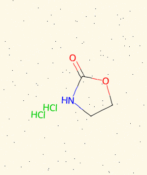 Cl.Cl.O=C1NCCO1